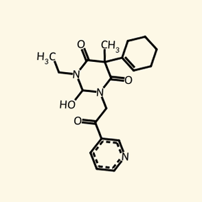 CCN1C(=O)C(C)(C2=CCCCC2)C(=O)N(CC(=O)c2cccnc2)C1O